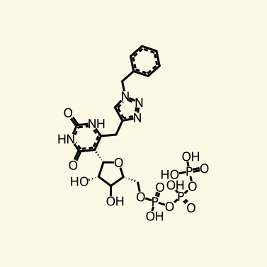 O=c1[nH]c(Cc2cn(Cc3ccccc3)nn2)c([C@@H]2O[C@H](COP(=O)(O)OP(=O)(O)OP(=O)(O)O)C(O)[C@@H]2O)c(=O)[nH]1